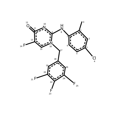 Cc1cc(Cl)ccc1Nc1nc(=O)c(F)cn1Cc1cc(F)c(F)c(F)c1